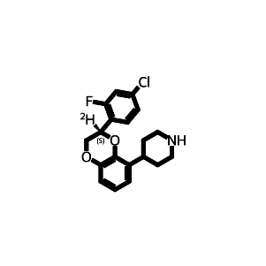 [2H][C@]1(c2ccc(Cl)cc2F)COc2cccc(C3CCNCC3)c2O1